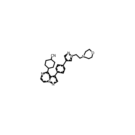 N#CC1CCC(c2nccn3ncc(-c4ccc(-c5cnn(CCN6CCOCC6)c5)cc4)c23)CC1